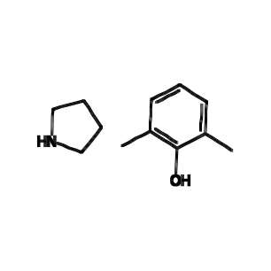 C1CCNC1.Cc1cccc(C)c1O